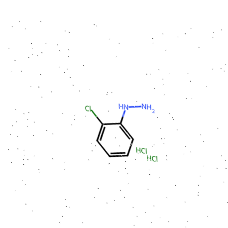 Cl.Cl.NNc1ccccc1Cl